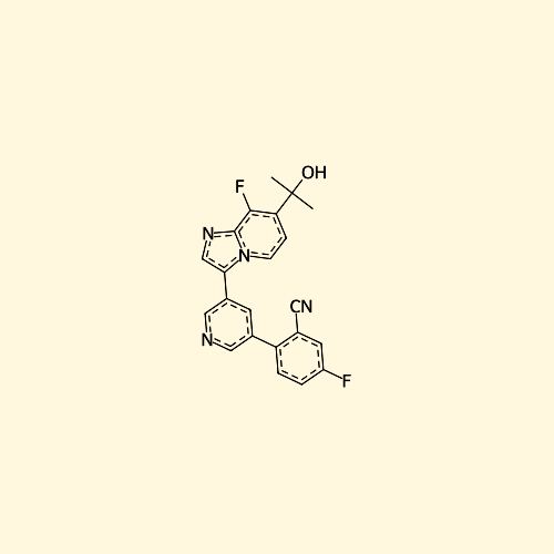 CC(C)(O)c1ccn2c(-c3cncc(-c4ccc(F)cc4C#N)c3)cnc2c1F